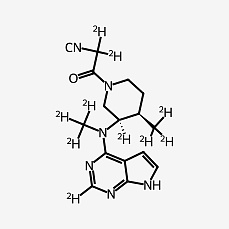 [2H]c1nc(N(C([2H])([2H])[2H])[C@@]2([2H])CN(C(=O)C([2H])([2H])[N+]#[C-])CC[C@H]2C([2H])([2H])[2H])c2cc[nH]c2n1